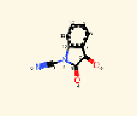 N#CN1C(=O)C(=O)c2ccccc21